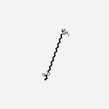 C=CC(=O)OCCCCCCCCCCCCCCCCC[SiH2]C(F)(F)F